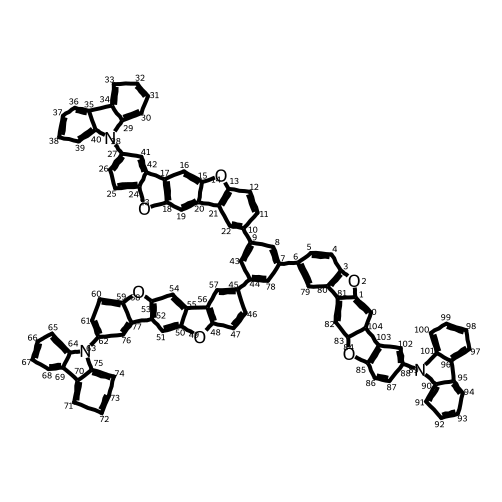 C1=c2oc3ccc(-c4cc(-c5ccc6oc7cc8c(cc7c6c5)oc5ccc(-n6c7ccccc7c7ccccc76)cc58)cc(-c5ccc6oc7cc8c(cc7c6c5)oc5ccc(-n6c7ccccc7c7ccccc76)cc58)c4)cc3c2=CC2Oc3ccc(-n4c5ccccc5c5ccccc54)cc3C12